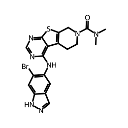 CN(C)C(=O)N1CCc2c(sc3ncnc(Nc4cc5cn[nH]c5cc4Br)c23)C1